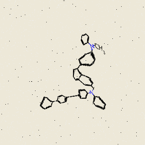 CN(c1ccccc1)c1ccc(-c2cccc3cc(CN(c4ccccc4)c4ccc(-c5ccc(-c6ccccc6)cc5)cc4)ccc23)cc1